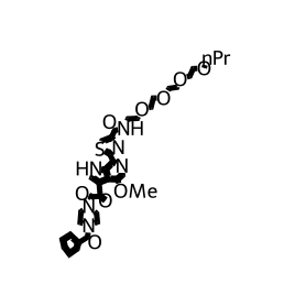 CCCOCCOCCOCCOCCNC(=O)c1csc(-c2ncc(OC)c3c(C(=O)C(=O)N4CCN(C(=O)c5ccccc5)CC4)c[nH]c23)n1